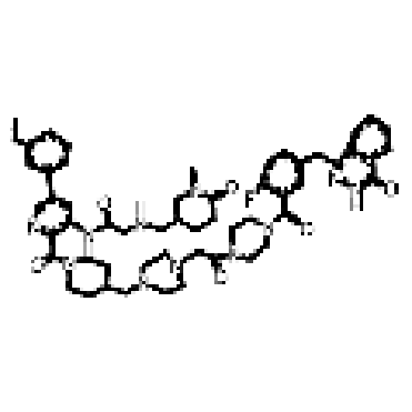 CCc1cccc(-c2cnc(C(=O)N3CCC(CN4CCN(CC(=O)N5CCN(C(=O)c6cc(Cc7n[nH]c(=O)c8ccccc78)ccc6F)CC5)CC4)CC3)c(NC(=O)CNCC3CCC(=O)N(C)C3)c2)c1